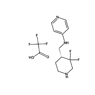 FC1(F)CNCC[C@@H]1CNc1ccncc1.O=C(O)C(F)(F)F